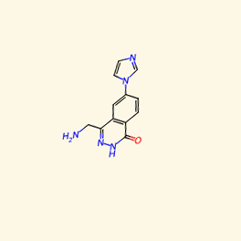 NCc1n[nH]c(=O)c2ccc(-n3ccnc3)cc12